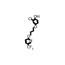 Oc1ccc(OCCCCOc2ccc(C(F)(F)F)cn2)cc1Cl